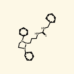 S=C(NCCCP1N(c2ccccc2)CCN1c1ccccc1)NCc1ccccc1